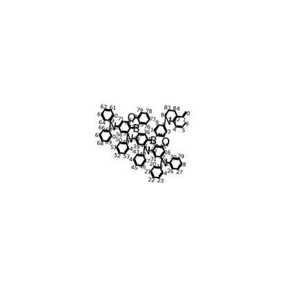 C=CC1=C(/C=C\C)N(c2ccc3c(c2)Oc2cc(N(c4ccccc4)c4ccccc4)cc4c2B3c2cc3c(cc2N4c2ccccc2)N(c2ccccc2)c2cc(N(c4ccccc4)c4ccccc4)cc4c2B3c2ccccc2O4)CCC1